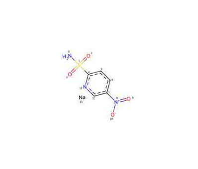 NS(=O)(=O)c1ccc([N+](=O)[O-])cn1.[Na]